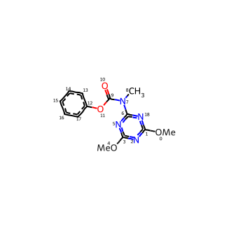 COc1nc(OC)nc(N(C)C(=O)Oc2ccccc2)n1